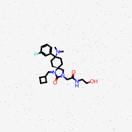 CN(C)[C@]1(c2cccc(F)c2)CC[C@@]2(CC1)CN(CC(=O)NCCO)C(=O)N2CC1CCC1